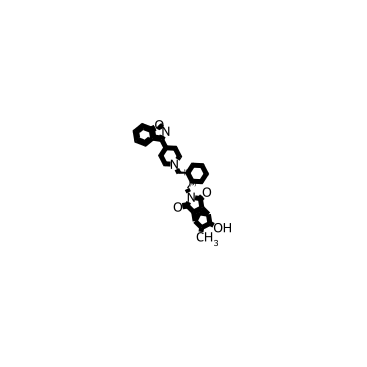 CC1C(O)C2CC1C1C(=O)N(C[C@H]3CCCC[C@@H]3CN3CCC(c4noc5ccccc45)CC3)C(=O)C21